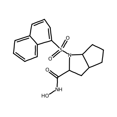 O=C(NO)C1CC2CCCC2N1S(=O)(=O)c1cccc2ccccc12